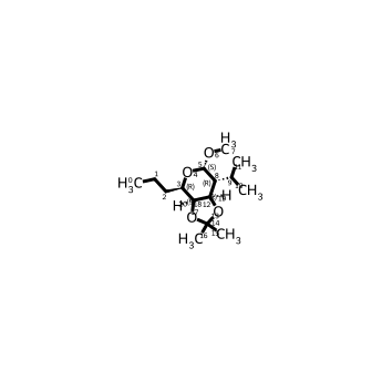 CCC[C@H]1O[C@H](OC)[C@H](C(C)C)[C@H]2OC(C)(C)O[C@H]21